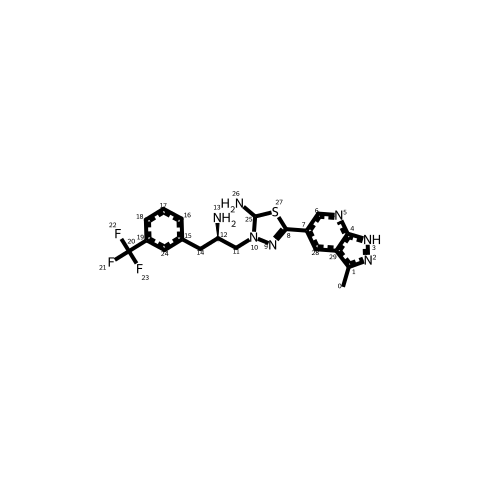 Cc1n[nH]c2ncc(C3=NN(C[C@H](N)Cc4cccc(C(F)(F)F)c4)C(N)S3)cc12